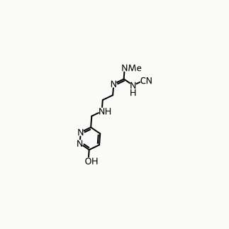 CNC(=NCCNCc1ccc(O)nn1)NC#N